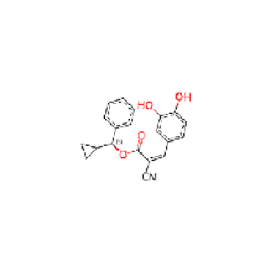 N#CC(=Cc1ccc(O)c(O)c1)C(=O)O[C@H](c1ccccc1)C1CC1